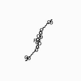 C=CC(=O)OCCCCCCCOc1ccc(C(=O)Oc2cc(F)c(OC(=O)c3ccc(OCCCCCCCOC(=O)C=C)cc3)c(F)c2F)cc1